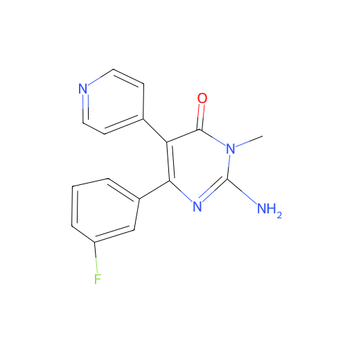 Cn1c(N)nc(-c2cccc(F)c2)c(-c2ccncc2)c1=O